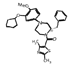 COc1ccc(N2CCN(C(=O)c3sc(C)nc3C)[C@@H](Cc3ccccc3)C2)cc1OC1CCCC1